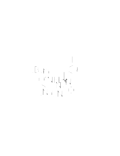 C=C(C(CN1C[C@@H]2CC1C(=O)N2C(c1ccc(F)cc1)C1CCCC1)NC(=O)OC(C)(C)C)N1C(C#N)CC2CC21